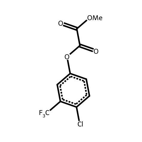 COC(=O)C(=O)Oc1ccc(Cl)c(C(F)(F)F)c1